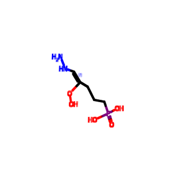 NN/C=C(/CCCP(=O)(O)O)OO